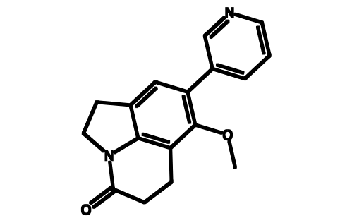 COc1c(-c2cccnc2)cc2c3c1CCC(=O)N3CC2